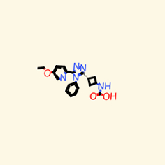 CCOc1ccc(-c2nnc([C@H]3C[C@H](NC(=O)O)C3)n2-c2ccccc2)nc1